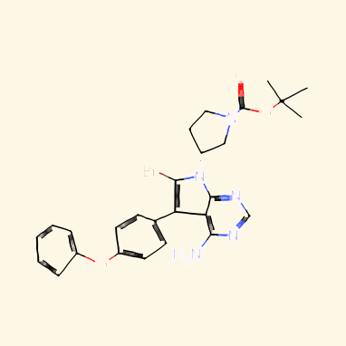 CC(C)(C)OC(=O)N1CC[C@@H](n2c(Br)c(-c3ccc(Oc4ccccc4)cc3)c3c(N)ncnc32)C1